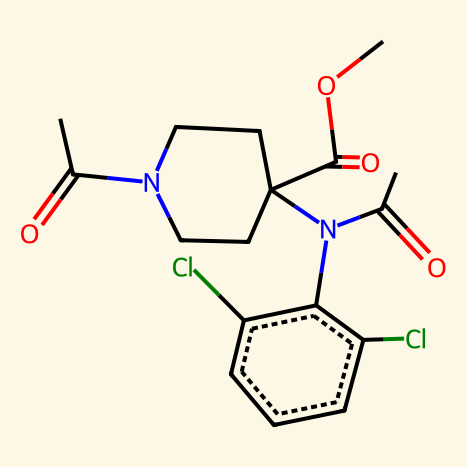 COC(=O)C1(N(C(C)=O)c2c(Cl)cccc2Cl)CCN(C(C)=O)CC1